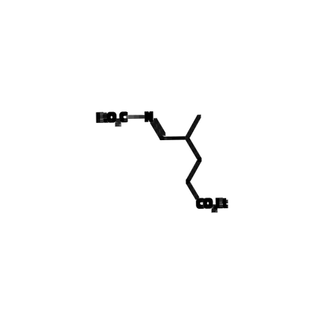 CCOC(=O)CCC(C)C=NC(=O)OCC